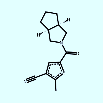 Cc1sc(C(=O)N2C[C@H]3CCC[C@H]3C2)cc1C#N